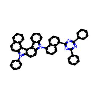 c1ccc(-c2nc(-c3ccccc3)nc(-c3cccc4c(-n5c6ccccc6c6c7c8c9ccccc9ccc8n(-c8ccccc8)c7ccc65)cccc34)n2)cc1